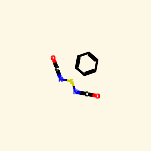 O=C=NSN=C=O.c1ccccc1